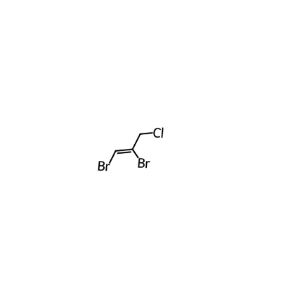 ClCC(Br)=CBr